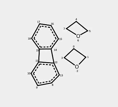 C1COC1.C1COC1.c1ccc2c(c1)-c1ccccc1-2